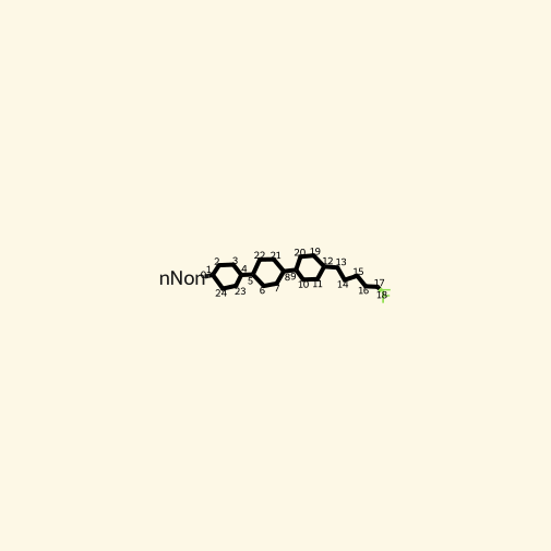 CCCCCCCCCC1CCC(C2CCC(C3CCC(CCCCCF)CC3)CC2)CC1